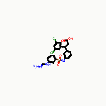 NN=CNc1cccc(S(=O)(=O)Nc2cccc(C(CC(=O)O)c3cc(Cl)cc(Cl)c3)c2)c1